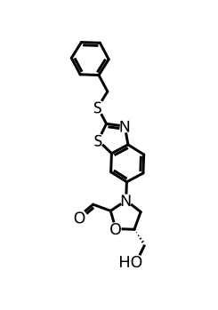 O=CC1O[C@@H](CO)CN1c1ccc2nc(SCc3ccccc3)sc2c1